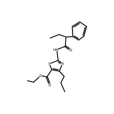 CCCc1nc(NC(=O)C(CC)c2ccccc2)sc1C(=O)OCC